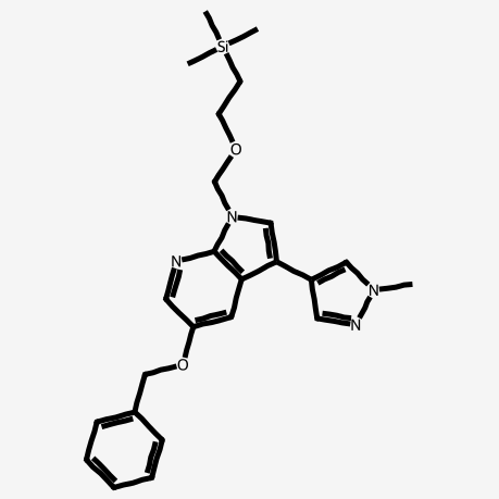 Cn1cc(-c2cn(COCC[Si](C)(C)C)c3ncc(OCc4ccccc4)cc23)cn1